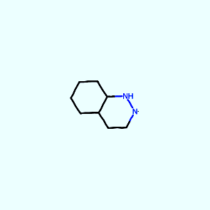 C1CCC2N[N]CCC2C1